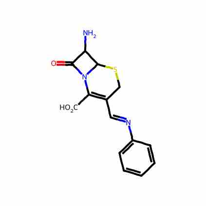 NC1C(=O)N2C(C(=O)O)=C(C=Nc3ccccc3)CSC12